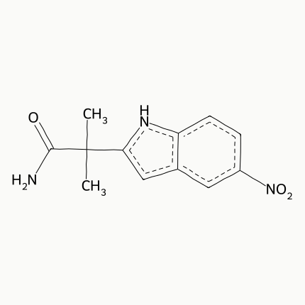 CC(C)(C(N)=O)c1cc2cc([N+](=O)[O-])ccc2[nH]1